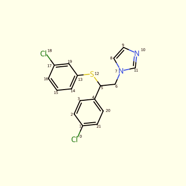 Clc1ccc(C(Cn2ccnc2)Sc2cccc(Cl)c2)cc1